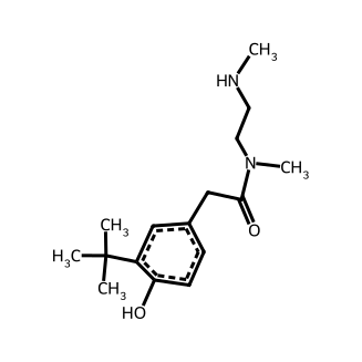 CNCCN(C)C(=O)Cc1ccc(O)c(C(C)(C)C)c1